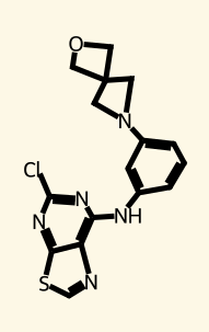 Clc1nc(Nc2cccc(N3CC4(COC4)C3)c2)c2ncsc2n1